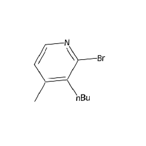 CCCCc1c(C)ccnc1Br